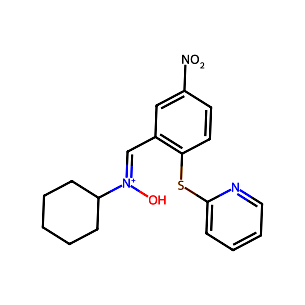 O=[N+]([O-])c1ccc(Sc2ccccn2)c(/C=[N+](\O)C2CCCCC2)c1